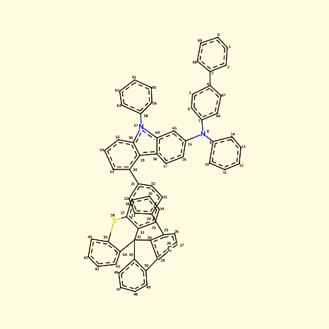 c1ccc(-c2ccc(N(c3ccccc3)c3ccc4c5c(-c6ccc(-c7cccc8c7C7(c9ccccc9Sc9ccccc97)c7ccccc7-8)cc6)cccc5n(-c5ccccc5)c4c3)cc2)cc1